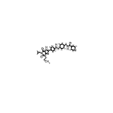 CCCn1c(=O)n(C2CC2)c(=O)c2[nH]c(-c3ccc(NCc4ccc(CNC(=O)c5ccncc5)cc4)nc3)nc21